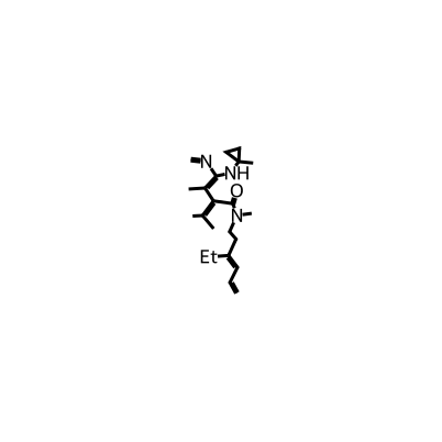 C=C/C=C(\CC)CCN(C)C(=O)C(=C(C)C)/C(C)=C(/N=C)NC1(C)CC1